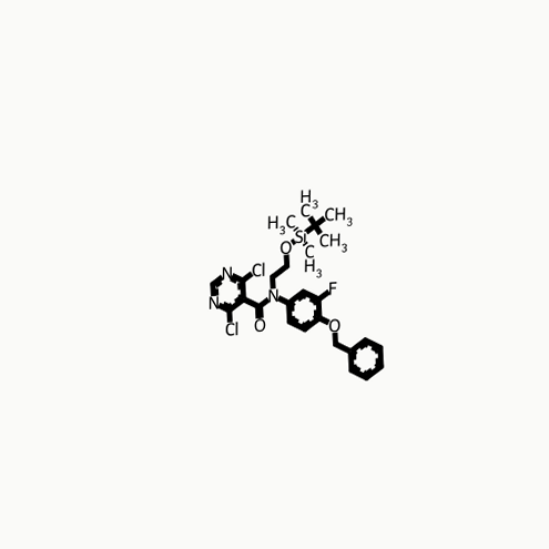 CC(C)(C)[Si](C)(C)OCCN(C(=O)c1c(Cl)ncnc1Cl)c1ccc(OCc2ccccc2)c(F)c1